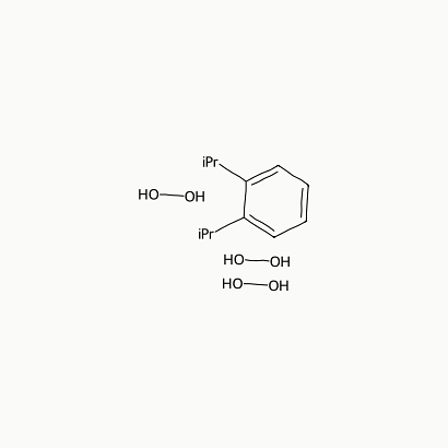 CC(C)c1ccccc1C(C)C.OO.OO.OO